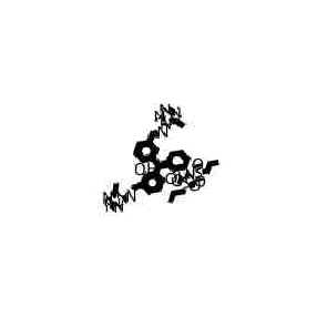 CCCS(=O)(=O)N(C1=CC(=C(c2cc(C=Nn3nnnc3C)ccc2O)c2cc(C=Nn3nnnc3C)ccc2O)CC=C1)S(=O)(=O)CCC